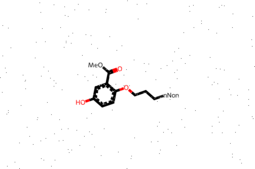 CCCCCCCCCCCCOc1ccc(O)cc1C(=O)OC